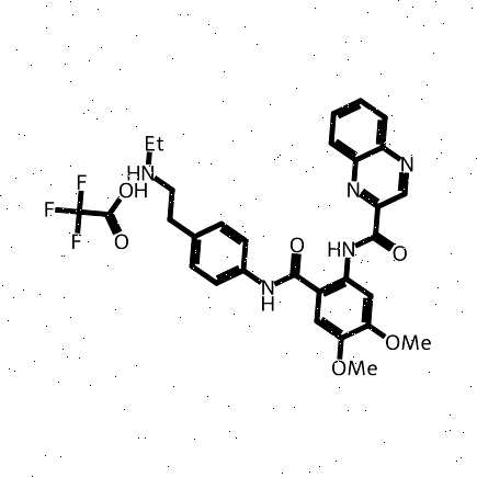 CCNCCc1ccc(NC(=O)c2cc(OC)c(OC)cc2NC(=O)c2cnc3ccccc3n2)cc1.O=C(O)C(F)(F)F